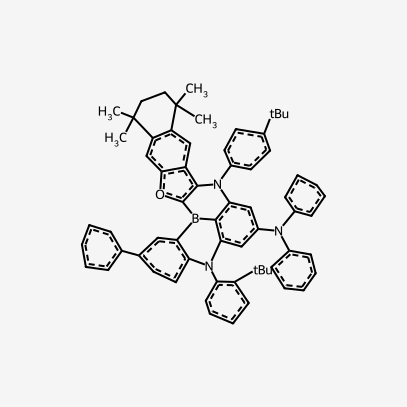 CC(C)(C)c1ccc(N2c3cc(N(c4ccccc4)c4ccccc4)cc4c3B(c3cc(-c5ccccc5)ccc3N4c3ccccc3C(C)(C)C)c3oc4cc5c(cc4c32)C(C)(C)CCC5(C)C)cc1